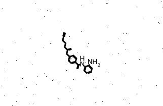 C#CCCCC(=C)Cc1ccc(C(=C)Nc2ccccc2N)cc1